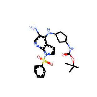 CC(C)(C)OC(=O)NC1CCC(Nc2c(N)cnc3c2ccn3S(=O)(=O)c2ccccc2)C1